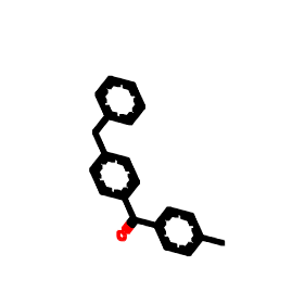 Cc1ccc(C(=O)c2ccc(Cc3ccccc3)cc2)cc1